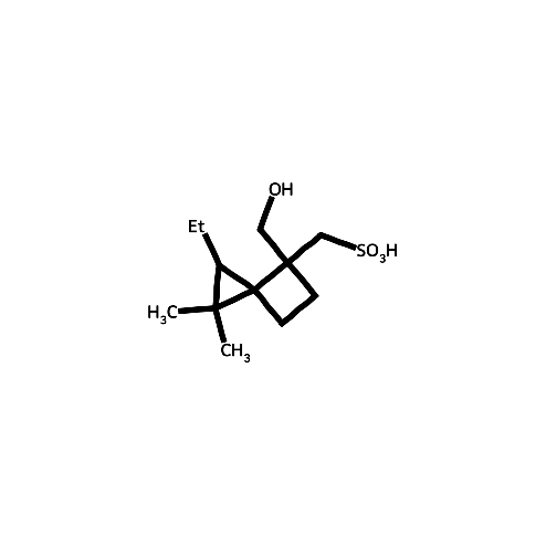 CCC1C(C)(C)C12CCC2(CO)CS(=O)(=O)O